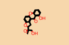 O=c1c2c(O)cccc2oc2ccc3c(c12)CC(C1(CO)CO1)O3